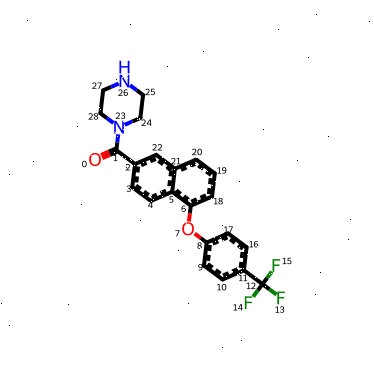 O=C(c1ccc2c(Oc3ccc(C(F)(F)F)cc3)cccc2c1)N1CCNCC1